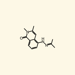 CC(C)=NNc1cccc2c(=O)n(C)c(C)cc12